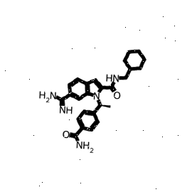 C[C@@H](c1ccc(C(N)=O)cc1)n1c(C(=O)NCC2CCCCC2)cc2ccc(C(=N)N)cc21